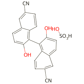 N#Cc1ccc2c(-c3c(O)ccc4cc(C#N)ccc34)c(O)ccc2c1.O=S(=O)(O)O